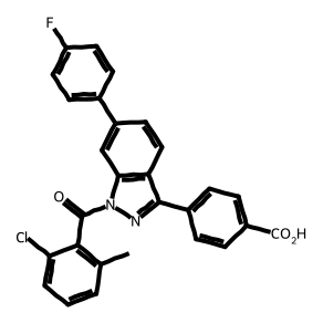 Cc1cccc(Cl)c1C(=O)n1nc(-c2ccc(C(=O)O)cc2)c2ccc(-c3ccc(F)cc3)cc21